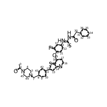 CC(=O)N1CCN(Cc2ccc(-c3cc4nccc(Oc5ccc(NC(=S)NC(=O)Cc6ccccc6)cc5F)c4s3)cc2)CC1